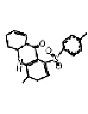 Cc1ccc(S(=O)(=O)C2=CCC(C)C3=C2C(=O)C2C=CCCC2N3)cc1